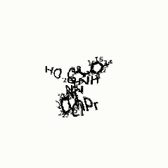 CCCc1nc(C(=O)NC(CC(=O)O)c2ccc(C)cc2)nn1-c1ccccc1Cl